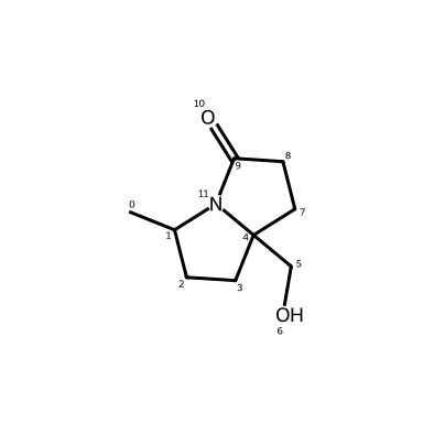 CC1CCC2(CO)CCC(=O)N12